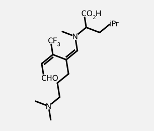 CC(C)CC(C(=O)O)N(C)/C=C(CCCN(C)C)\C(=C/C=O)C(F)(F)F